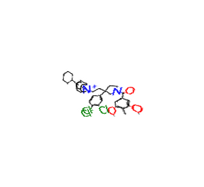 COc1cc(C(=O)N2CCC(CC[N+]34CCC(C5CCCCC5)(CC3)CC4)(c3ccc(Cl)c(Cl)c3)C2)cc(OC)c1C.[Cl-]